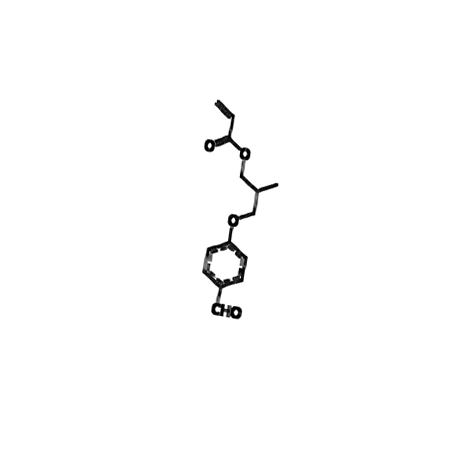 C=CC(=O)OCC(C)COc1ccc(C=O)cc1